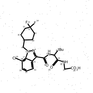 CC(C)(C)C(NC(=O)c1nn(CC2CCC(F)(F)CC2)c2c(Cl)cccc12)C(=O)NCC(=O)O